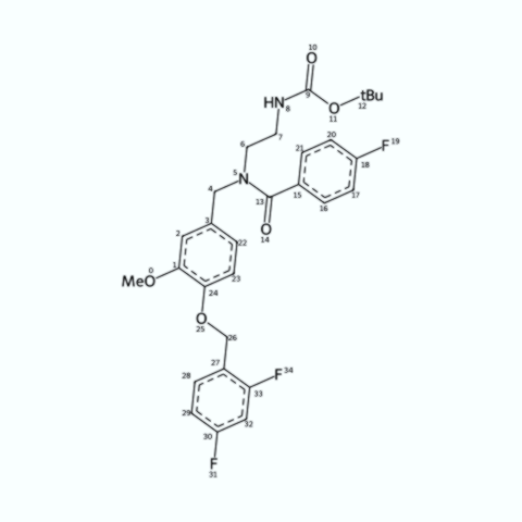 COc1cc(CN(CCNC(=O)OC(C)(C)C)C(=O)c2ccc(F)cc2)ccc1OCc1ccc(F)cc1F